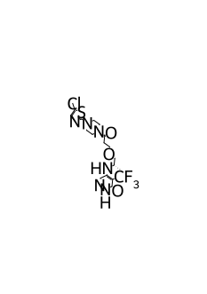 C[C@@H](COCCC(=O)N1CCN(c2ncc(Cl)s2)CC1)Nc1cn[nH]c(=O)c1C(F)(F)F